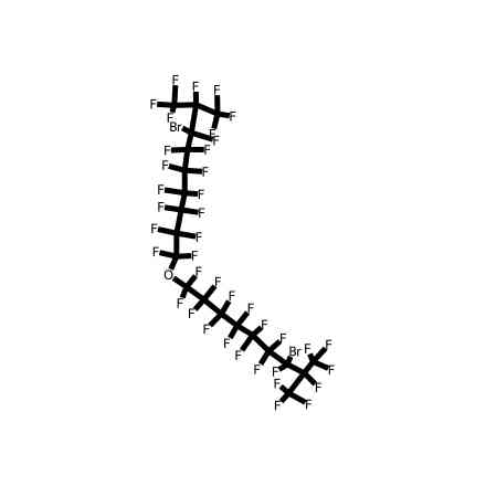 FC(F)(F)C(F)(C(F)(F)F)C(F)(Br)C(F)(F)C(F)(F)C(F)(F)C(F)(F)C(F)(F)C(F)(F)OC(F)(F)C(F)(F)C(F)(F)C(F)(F)C(F)(F)C(F)(F)C(F)(Br)C(F)(C(F)(F)F)C(F)(F)F